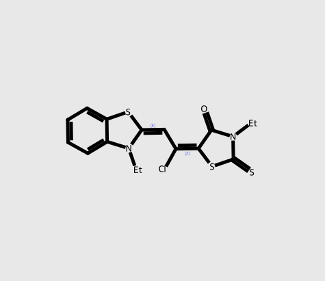 CCN1C(=O)/C(=C(Cl)\C=C2\Sc3ccccc3N2CC)SC1=S